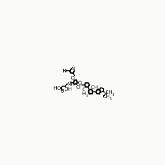 Cc1c(COc2cc(OCc3cncc(C#N)c3)c(CNCC(O)CC(=O)O)cc2Cl)cccc1-c1cccc(-c2ccc3c(c2)CCC3N(C)C)c1C